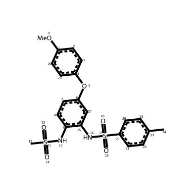 COc1ccc(Oc2ccc(NS(C)(=O)=O)c(NS(=O)(=O)c3ccc(C)cc3)c2)cc1